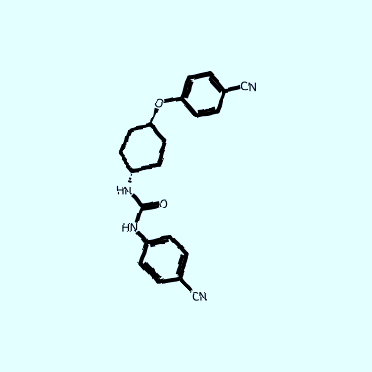 N#Cc1ccc(NC(=O)N[C@H]2CC[C@H](Oc3ccc(C#N)cc3)CC2)cc1